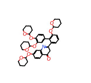 O=C1CC(c2cccc(OC3CCCCO3)c2-c2ccc(OC3CCCCO3)c(OC3CCCCO3)c2)=Nc2cc(OC3CCCCO3)ccc21